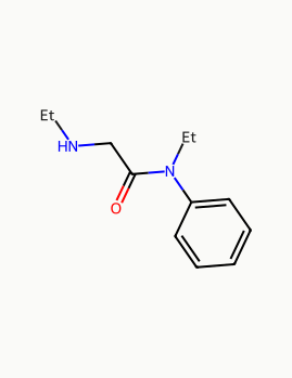 CCNCC(=O)N(CC)c1ccccc1